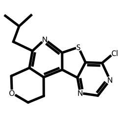 CC(C)Cc1nc2sc3c(Cl)ncnc3c2c2c1COCC2